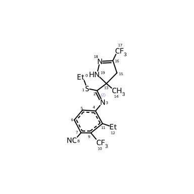 CCS/C(=N\c1ccc(C#N)c(C(F)(F)F)c1CC)C1(C)CC(C(F)(F)F)=NN1